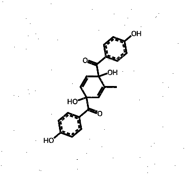 CC1=CC(O)(C(=O)c2ccc(O)cc2)C=CC1(O)C(=O)c1ccc(O)cc1